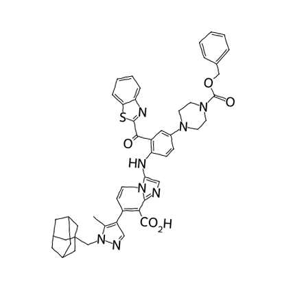 Cc1c(-c2ccn3c(Nc4ccc(N5CCN(C(=O)OCc6ccccc6)CC5)cc4C(=O)c4nc5ccccc5s4)cnc3c2C(=O)O)cnn1CC12CC3CC(CC(C3)C1)C2